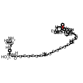 CC[C@]1(O)C[C@H]2CN(CCc3c([nH]c4ccccc34)[C@@](C(=O)OC)(c3cc4c(cc3OC)N(C)[C@H]3[C@@](O)(C(=O)NCCC[Si](C)(C)O[Si](C)(C)CSc5ncc(COCCOCCOCCOCCOCCOCCn6cc(COCCOCCOCCOCCOCCOCCNC(=O)CC[C@H](NC(=O)c7ccc(NCc8cnc9nc(N)[nH]c(=O)c9n8)cc7)C(=O)O)nn6)cn5)[C@H](O)[C@]5(CC)C=CCN6CC[C@]43[C@@H]65)C2)C1